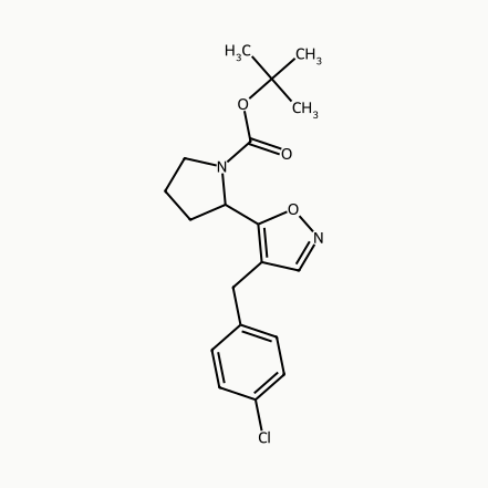 CC(C)(C)OC(=O)N1CCCC1c1oncc1Cc1ccc(Cl)cc1